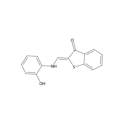 O=C1C(=CNc2ccccc2O)Sc2ccccc21